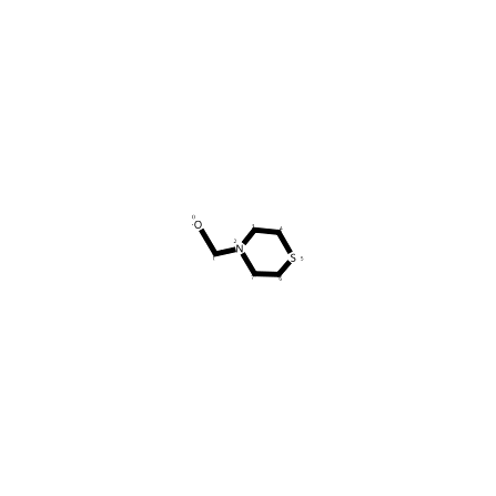 [O]CN1CCSCC1